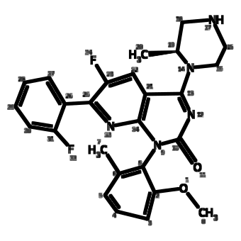 COc1cccc(C)c1-n1c(=O)nc(N2CCNC[C@@H]2C)c2cc(F)c(-c3ccccc3F)nc21